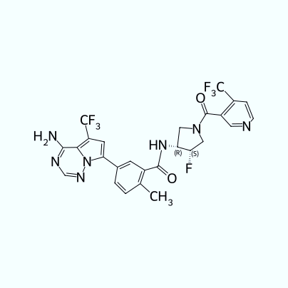 Cc1ccc(-c2cc(C(F)(F)F)c3c(N)ncnn23)cc1C(=O)N[C@@H]1CN(C(=O)c2cnccc2C(F)(F)F)C[C@@H]1F